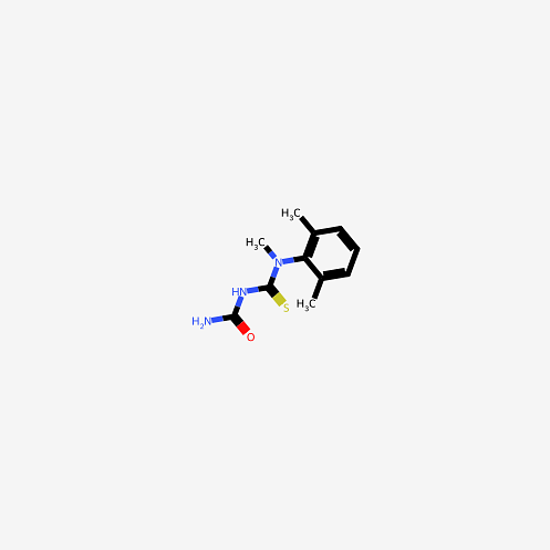 Cc1cccc(C)c1N(C)C(=S)NC(N)=O